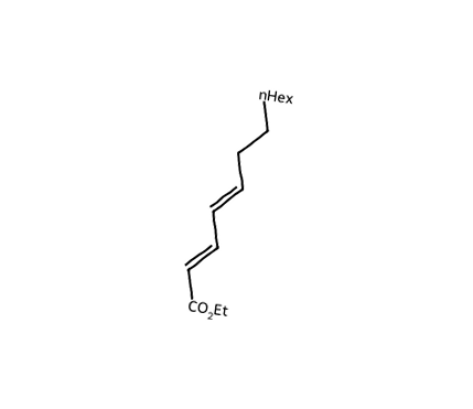 CCCCCCCCC=CC=CC(=O)OCC